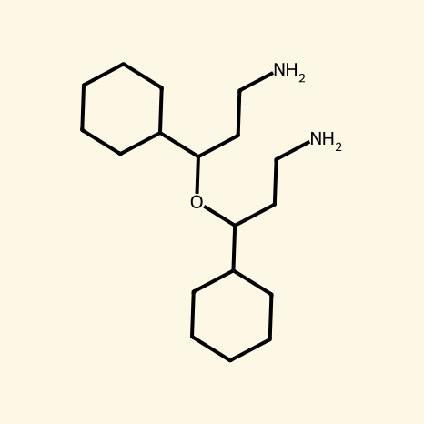 NCCC(OC(CCN)C1CCCCC1)C1CCCCC1